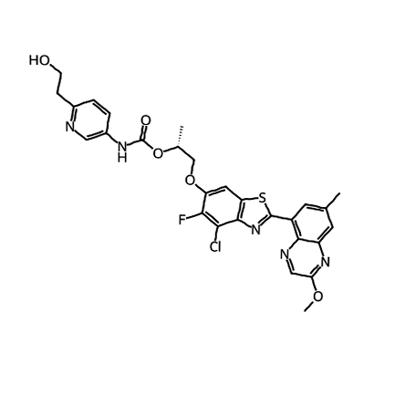 COc1cnc2c(-c3nc4c(Cl)c(F)c(OC[C@@H](C)OC(=O)Nc5ccc(CCO)nc5)cc4s3)cc(C)cc2n1